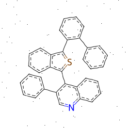 c1ccc(-c2ccccc2-c2sc(-c3c(-c4ccccc4)cnc4ccccc34)c3ccccc23)cc1